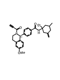 C#CC(=O)N1CCc2cc(OC)ccc2[C@@H]1c1ccc(C(=O)NC2(CC)CC(=C)CC(C)C2)cc1